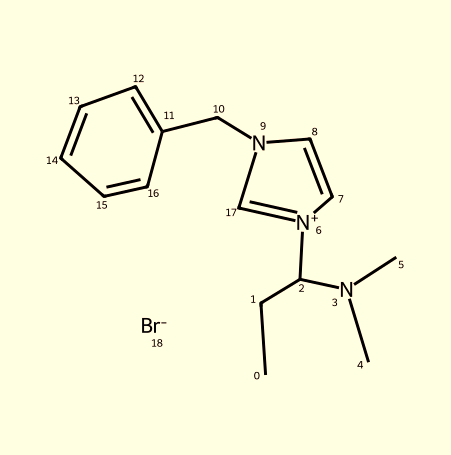 CCC(N(C)C)[n+]1ccn(Cc2ccccc2)c1.[Br-]